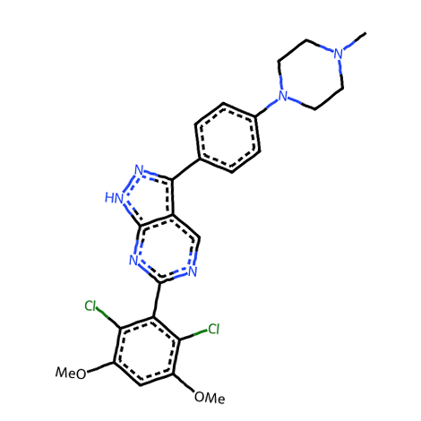 COc1cc(OC)c(Cl)c(-c2ncc3c(-c4ccc(N5CCN(C)CC5)cc4)n[nH]c3n2)c1Cl